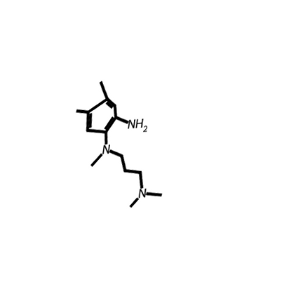 Cc1cc(N)c(N(C)CCCN(C)C)cc1C